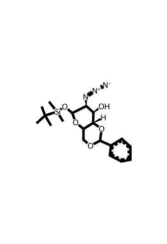 CC(C)(C)[Si](C)(C)OC1OC2COC(c3ccccc3)O[C@H]2[C@H](O)[C@@H]1N=[N+]=[N-]